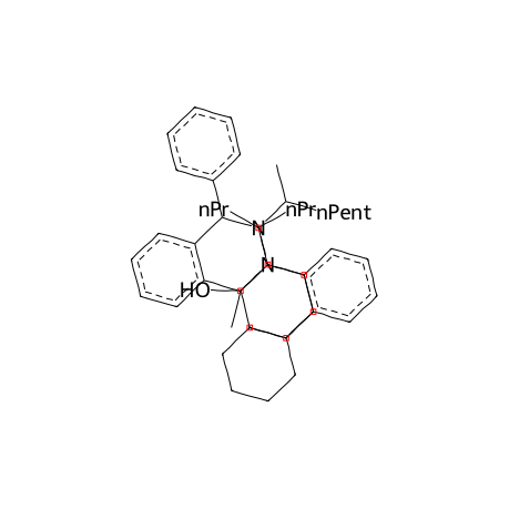 CCCCCC(C)N(C(c1ccccc1)c1ccccc1C(C)N(c1ccccc1C1CCCCC1)C(CCC)CCC)C1CCCCC1O